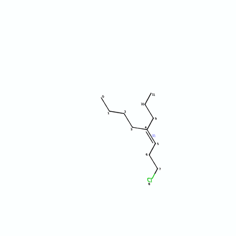 CCCC/C(=C\CCCl)CCC